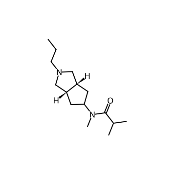 CCCN1C[C@H]2CC(N(C)C(=O)C(C)C)C[C@H]2C1